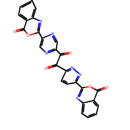 O=C(C(=O)c1ccc(-c2nc3ccccc3c(=O)o2)nn1)c1cnc(-c2nc3ccccc3c(=O)o2)cn1